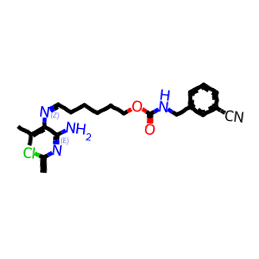 C=C(Cl)/N=C(/N)C(/N=C\CCCCCOC(=O)NCc1cccc(C#N)c1)=C(C)C